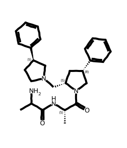 CC(N)C(=O)N[C@@H](C)C(=O)N1C[C@@H](c2ccccc2)C[C@H]1CN1CC[C@@H](c2ccccc2)C1